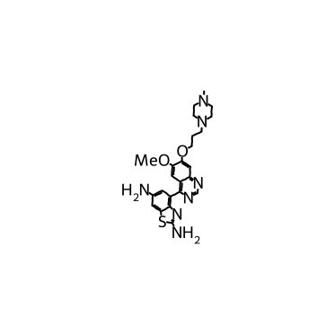 COc1cc2c(-c3cc(N)cc4sc(N)nc34)ncnc2cc1OCCCN1CCN(C)CC1